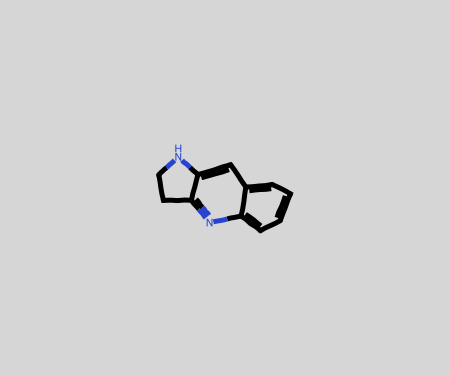 c1ccc2nc3c(cc2c1)NCC3